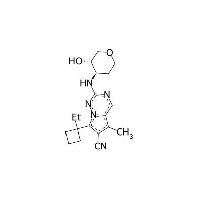 CCC1(c2c(C#N)c(C)c3cnc(N[C@@H]4CCOC[C@H]4O)nn23)CCC1